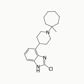 CC1(N2CCC(c3cccc4[nH]c(Cl)nc34)CC2)CCCCCC1